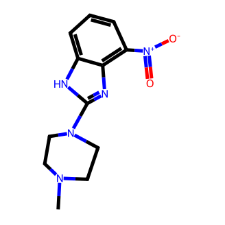 CN1CCN(c2nc3c([N+](=O)[O-])cccc3[nH]2)CC1